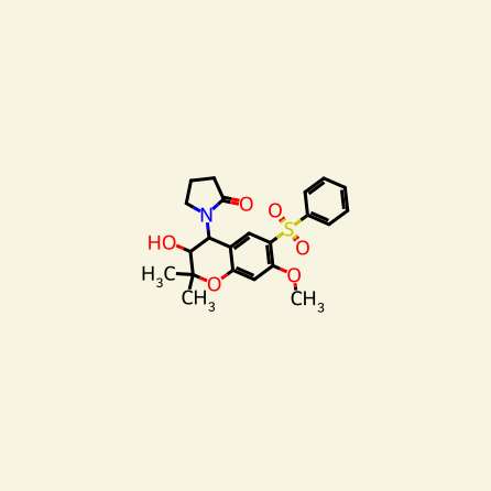 COc1cc2c(cc1S(=O)(=O)c1ccccc1)C(N1CCCC1=O)C(O)C(C)(C)O2